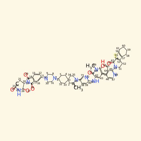 C[C@H]1CC2(CCC(N3CCN(c4ccc5c(c4)C(=O)N(C4CCC(=O)NC4=O)C5=O)CC3)CC2)CCN1c1ccc(Nc2cc(-c3ccnc(N4CCc5c(sc6c5CCCC6)C4=O)c3CO)cn(C)c2=O)nc1